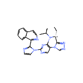 CC[C@@H]1c2nncn2-c2cnc(-n3ccnc3-c3nccc4ccccc34)nc2N1C(C)C